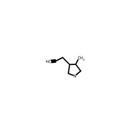 C#CCC1C[N]CC1C